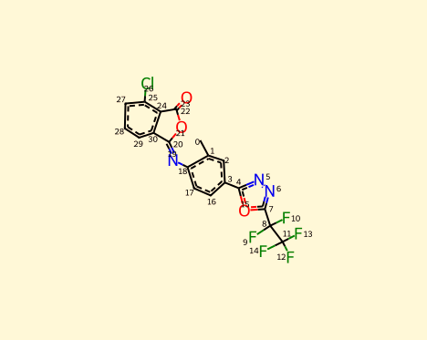 Cc1cc(-c2nnc(C(F)(F)C(F)(F)F)o2)ccc1/N=C1\OC(=O)c2c(Cl)cccc21